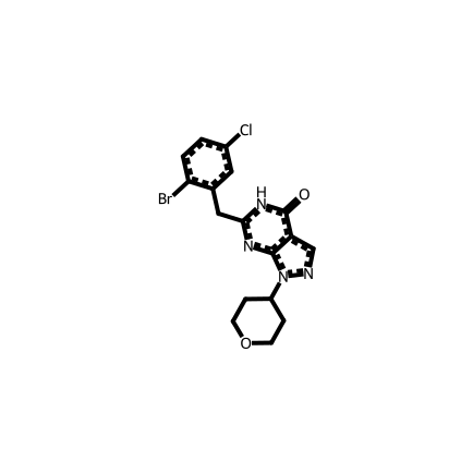 O=c1[nH]c(Cc2cc(Cl)ccc2Br)nc2c1cnn2C1CCOCC1